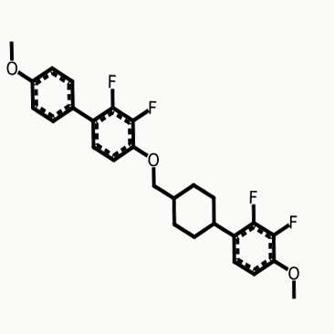 COc1ccc(-c2ccc(OCC3CCC(c4ccc(OC)c(F)c4F)CC3)c(F)c2F)cc1